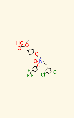 CCOC(Cc1ccc(OCCN(CCCc2cc(Cl)cc(Cl)c2)C(=O)Oc2ccc(C(F)(F)F)cc2)cc1)C(=O)O